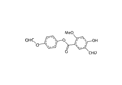 COc1cc(O)c(C=O)cc1C(=O)Oc1ccc(OC=O)cc1